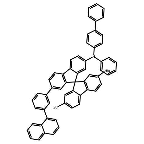 CC(C)(C)c1ccc2c(c1)C1(c3cc(-c4cccc(-c5cccc6ccccc56)c4)ccc3-c3ccc(N(c4ccccc4)c4ccc(-c5ccccc5)cc4)cc31)c1cc(C(C)(C)C)ccc1-2